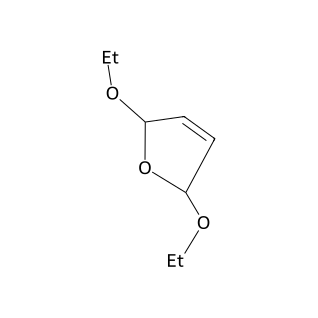 CCOC1C=CC(OCC)O1